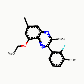 COCOc1cc(C)cc2nc(OC)c(-c3cccc(C=O)c3F)nc12